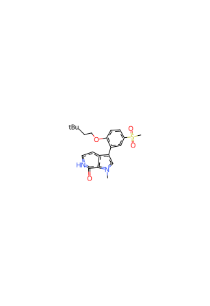 Cn1cc(-c2cc(S(C)(=O)=O)ccc2OCCC(C)(C)C)c2cc[nH]c(=O)c21